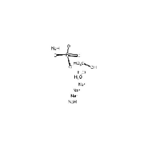 O.O.O=C(O)O.O=P([O-])([O-])[O-].[Na+].[Na+].[Na+].[NaH].[NaH]